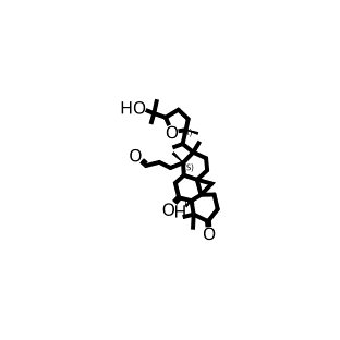 CC(C1(C)CCC23CC24CCC(=O)C(C)(C)[C@@H]4C(=O)CC3[C@]1(C)CCC=O)[C@@]1(C)CCC(C(C)(C)O)O1